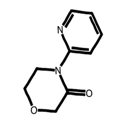 O=C1COCCN1c1ccccn1